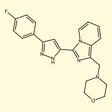 Fc1ccc(-c2cc(-c3nc(CN4CCOCC4)c4ccccn34)[nH]n2)cc1